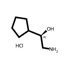 Cl.NC[C@H](O)C1CCCC1